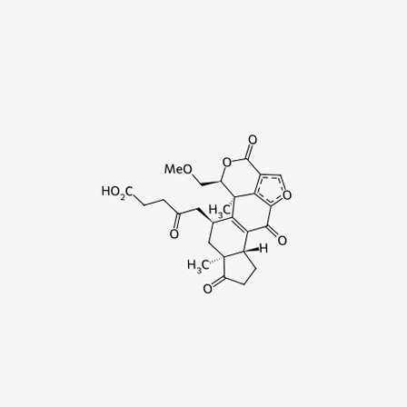 COC[C@H]1OC(=O)c2coc3c2[C@@]1(C)C1=C(C3=O)[C@@H]2CCC(=O)[C@@]2(C)C[C@H]1CC(=O)CCC(=O)O